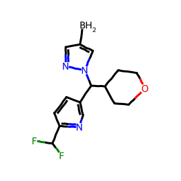 Bc1cnn(C(c2ccc(C(F)F)nc2)C2CCOCC2)c1